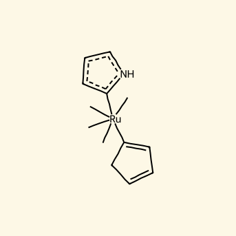 [CH3][Ru]([CH3])([CH3])([CH3])([C]1=CC=CC1)[c]1ccc[nH]1